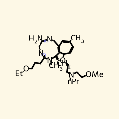 C=C1C2=C(C=C(C)C=CC2OCCN(CCC)CCOC)C/N=C(/N)C/N=C(/CCCOCC)N1C